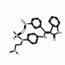 CN(C)CCN(c1ccc(N/C(=C2\C(=O)Nc3ccccc32)c2cccc([N+](=O)[O-])c2)cc1)S(C)(=O)=O